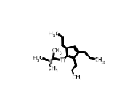 CCCC1=CC(CCC)[C]([Ti][CH](C)N(C)C)=C1CCC